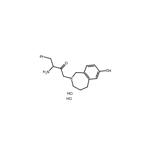 CC(C)CC(N)C(=O)CN1CCCc2cc(O)ccc2C1.Cl.Cl